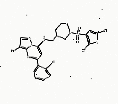 O=S(=O)(c1cc(Cl)sc1Cl)N1CCCC(CNc2cc(-c3ccccc3Cl)nc3c(Br)cnn23)C1